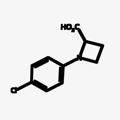 O=C(O)C1CCN1c1ccc(Cl)cc1